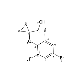 OCC1(Oc2c(F)cc(Br)cc2F)CC1